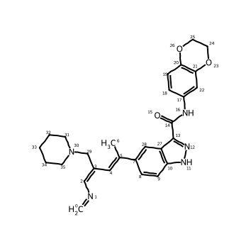 C=N/C=C(\C=C(/C)c1ccc2[nH]nc(C(=O)Nc3ccc4c(c3)OCCO4)c2c1)CN1CCCCC1